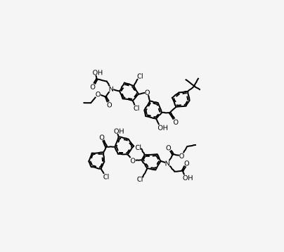 CCOC(=O)N(CC(=O)O)c1cc(Cl)c(Oc2ccc(O)c(C(=O)c3ccc(C(C)(C)C)cc3)c2)c(Cl)c1.CCOC(=O)N(CC(=O)O)c1cc(Cl)c(Oc2ccc(O)c(C(=O)c3cccc(Cl)c3)c2)c(Cl)c1